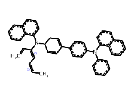 C=C/C(=C\C=C/C)N(c1cccc2ccccc12)C1C=CC(c2ccc(N(c3ccccc3)c3cccc4ccccc34)cc2)=CC1